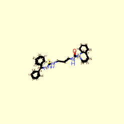 O=C(NCCCNC(=S)NC(c1ccccc1)c1ccccc1)N1CCCC2CCCCC21